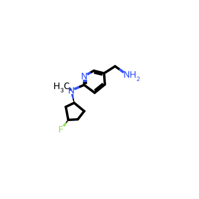 CN(c1ccc(CN)cn1)[C@H]1CC[C@@H](F)C1